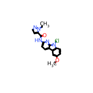 CCn1nccc1C(=O)Nc1ccc2c3cc(OC)ccc3n(Cl)c2n1